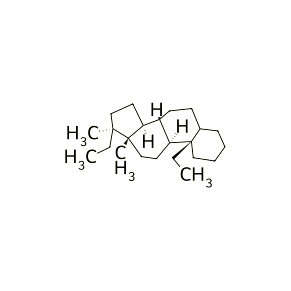 CC[C@]12CCCCC1CC[C@@H]1[C@@H]2CC[C@@]2(C)[C@H]1CC[C@]2(C)CC